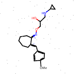 COc1ccc(/C=C2\CCCCC\C2=N/OCC(O)CNC2CC2)cc1